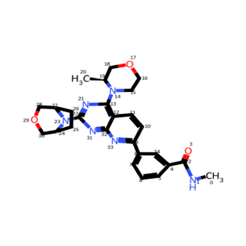 CNC(=O)c1cccc(-c2ccc3c(N4CCOC[C@@H]4C)nc(N4C5CCC4COC5)nc3n2)c1